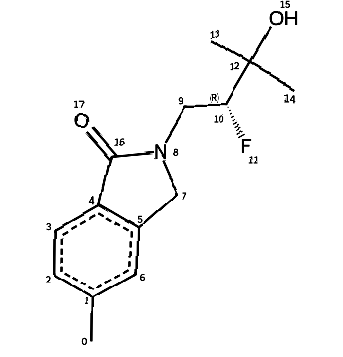 Cc1ccc2c(c1)CN(C[C@@H](F)C(C)(C)O)C2=O